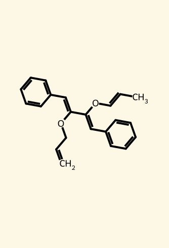 C=CCOC(=Cc1ccccc1)C(=Cc1ccccc1)OC=CC